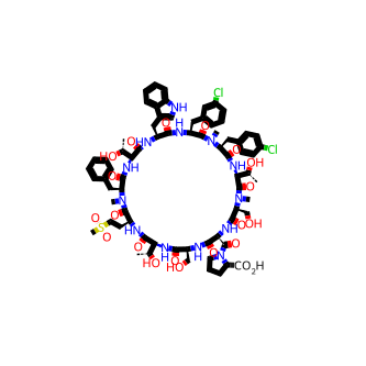 C[C@@H](O)[C@@H]1NC(=O)[C@H](CO)NC(=O)[C@@H](C(=O)N2CCCC2C(=O)O)NC(=O)[C@H](CO)N(C)C(=O)[C@H]([C@@H](C)O)NC(=O)[C@H](Cc2ccc(Cl)cc2)N(C)C(=O)[C@H](Cc2cccc(Cl)c2)NC(=O)[C@H](Cc2c[nH]c3ccccc23)NC(=O)[C@H]([C@@H](C)O)NC(=O)[C@H](Cc2ccccc2)N(C)C(=O)[C@H](CCS(C)(=O)=O)NC1=O